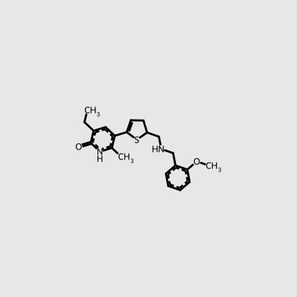 CCc1cc(C2=CCC(CNCc3ccccc3OC)S2)c(C)[nH]c1=O